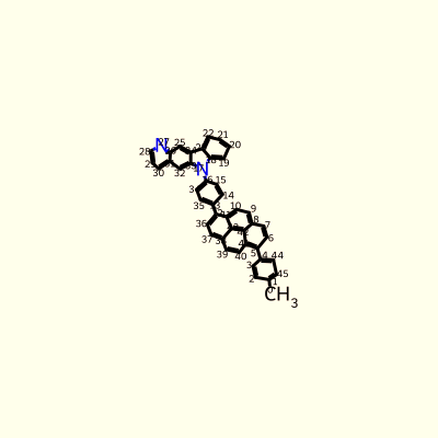 Cc1ccc(-c2ccc3ccc4c(-c5ccc(-n6c7ccccc7c7cc8ncccc8cc76)cc5)ccc5ccc2c3c54)cc1